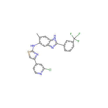 Cc1cc2[nH]c(-c3cccc(C(F)(F)F)c3)nc2cc1Nc1nc(-c2ccnc(Cl)c2)cs1